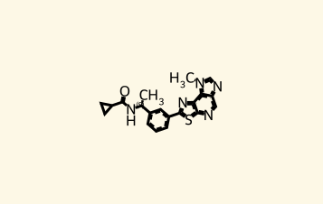 C[C@H](NC(=O)C1CC1)c1cccc(-c2nc3c(ncc4ncn(C)c43)s2)c1